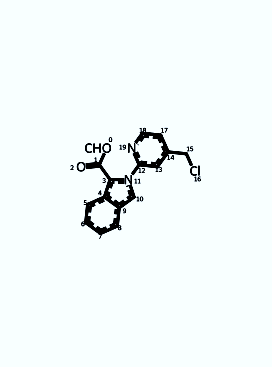 O=CC(=O)c1c2ccccc2cn1-c1cc(CCl)ccn1